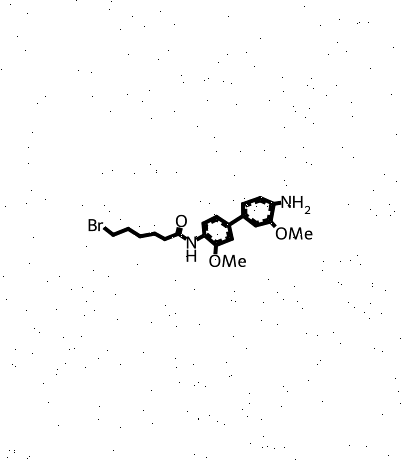 COc1cc(-c2ccc(NC(=O)CCCCCBr)c(OC)c2)ccc1N